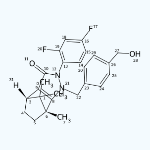 CC1(C)[C@@H]2CC[C@@]1(C)c1c2c(=O)n(-c2ccc(F)cc2F)n1Cc1ccc(CO)cc1